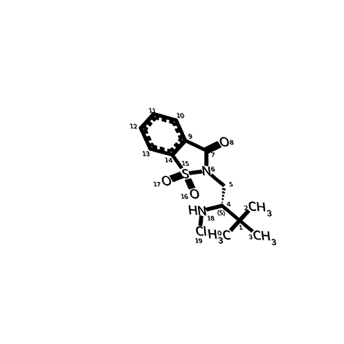 CC(C)(C)[C@@H](CN1C(=O)c2ccccc2S1(=O)=O)NCl